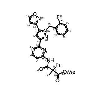 CCC(C)(C(=O)Nc1ccnc(-c2cc(-c3ccon3)n(Cc3ccccc3F)n2)n1)C(=O)OC